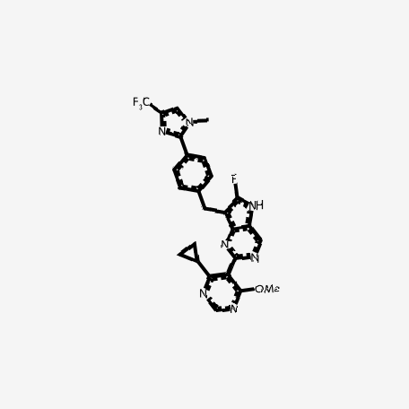 COc1ncnc(C2CC2)c1-c1ncc2[nH]c(F)c(Cc3ccc(-c4nc(C(F)(F)F)cn4C)cc3)c2n1